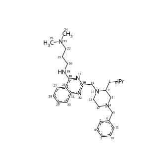 CC(C)CC1CN(Cc2ccccc2)CCN1Cc1nc(NCCCN(C)C)c2ccccc2n1